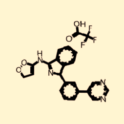 C1=C(NC2=NC(c3cccc(-c4cncnc4)c3)c3ccccc32)OOC1.O=C(O)C(F)(F)F